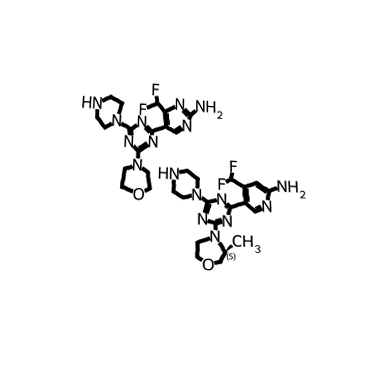 C[C@H]1COCCN1c1nc(-c2cnc(N)cc2C(F)F)nc(N2CCNCC2)n1.Nc1ncc(-c2nc(N3CCNCC3)nc(N3CCOCC3)n2)c(C(F)F)n1